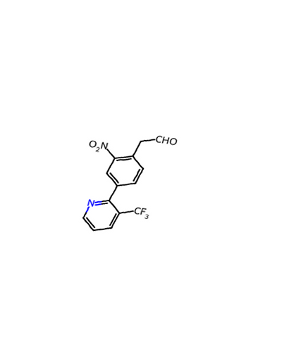 O=CCc1ccc(-c2ncccc2C(F)(F)F)cc1[N+](=O)[O-]